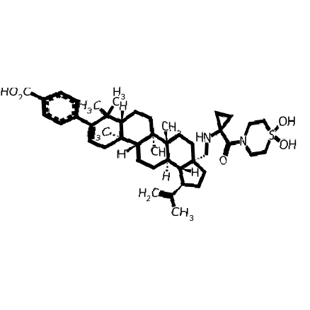 C=C(C)[C@@H]1CC[C@]2(CNC3(C(=O)N4CCS(O)(O)CC4)CC3)CC[C@]3(C)[C@H](CC[C@@H]4[C@@]5(C)CC=C(c6ccc(C(=O)O)cc6)C(C)(C)[C@@H]5CC[C@]43C)[C@@H]12